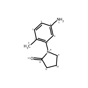 Cc1ccc(N)cc1N1CCCC1=O